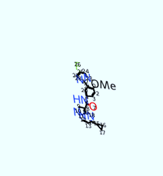 COc1ccc(NC(=O)c2cnn3ccc(C4CC4)nc23)cc1-c1ncc(F)cn1